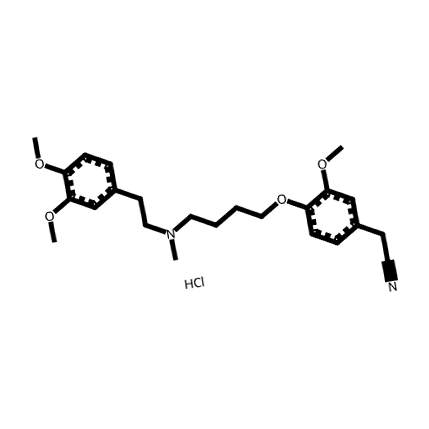 COc1ccc(CCN(C)CCCCOc2ccc(CC#N)cc2OC)cc1OC.Cl